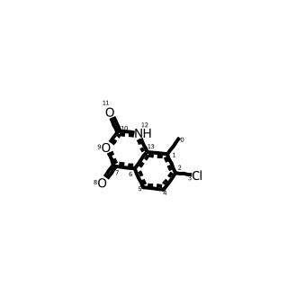 Cc1c(Cl)ccc2c(=O)oc(=O)[nH]c12